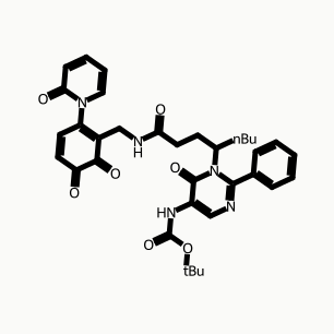 CCCCC(CCC(=O)NCC1=C(n2ccccc2=O)C=CC(=O)C1=O)n1c(-c2ccccc2)ncc(NC(=O)OC(C)(C)C)c1=O